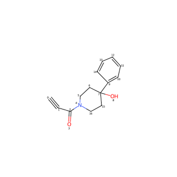 C#CC(=O)N1CCC(O)(c2ccccc2)CC1